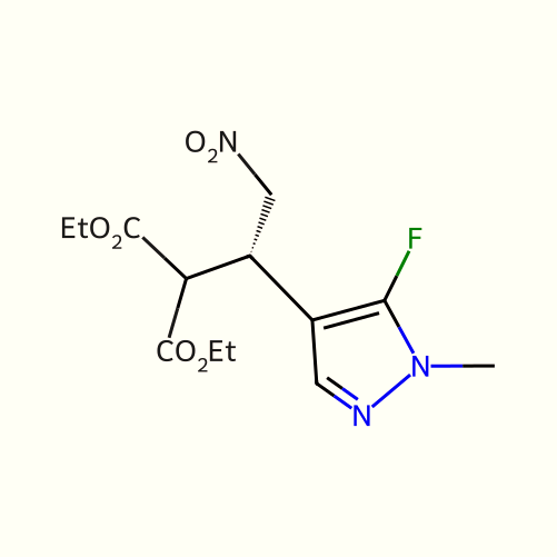 CCOC(=O)C(C(=O)OCC)[C@H](C[N+](=O)[O-])c1cnn(C)c1F